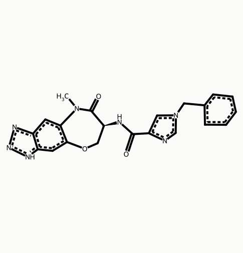 CN1C(=O)[C@@H](NC(=O)c2cn(Cc3ccccc3)cn2)COc2cc3[nH]nnc3cc21